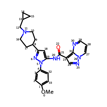 COc1ccc(-n2nc(C3CCN(CC4CC4)CC3)cc2NC(=O)c2cnn3cccnc23)cc1